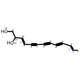 C/C=C/C#CC#CC#C/C=C/C(O)CO